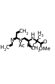 C=C/N=C(/C=C)N(/C=C(\C=C)NC(C)(C)C(=O)OC)C(C)=O